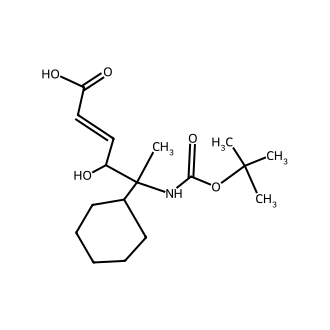 CC(C)(C)OC(=O)NC(C)(C(O)C=CC(=O)O)C1CCCCC1